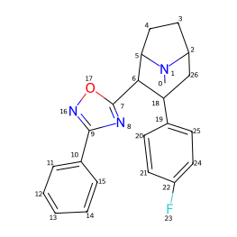 CN1C2CCC1C(c1nc(-c3ccccc3)no1)C(c1ccc(F)cc1)C2